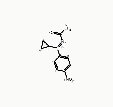 O=C(/N=S(/c1ccc([N+](=O)[O-])cc1)C1CC1)C(F)(F)F